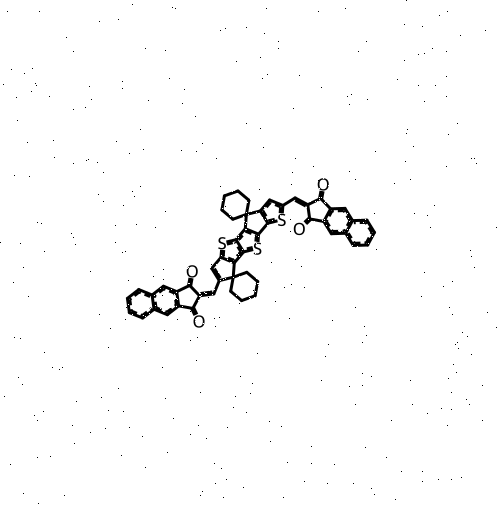 O=C1C(=CC2=Cc3sc4c5c(sc4c3C23CCCCC3)-c2sc(C=C3C(=O)c4cc6ccccc6cc4C3=O)cc2C52CCCCC2)C(=O)c2cc3ccccc3cc21